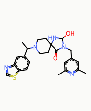 Cc1cc(CN2C(=O)C3(CCN(C(C)c4ccc5scnc5c4)CC3)NC2O)cc(C)n1